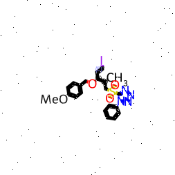 COc1ccc(CO[C@@H](/C=C/I)[C@@H](C)CS(=O)(=O)c2nnnn2-c2ccccc2)cc1